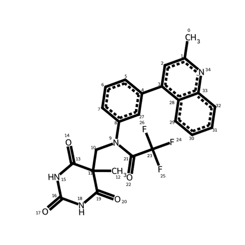 Cc1cc(-c2cccc(N(CC3(C)C(=O)NC(=O)NC3=O)C(=O)C(F)(F)F)c2)c2ccccc2n1